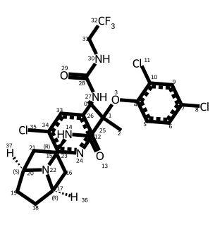 CC(C)(Oc1ccc(Cl)cc1Cl)C(=O)N[C@H]1C[C@H]2CC[C@@H](C1)N2c1ncc(NC(=O)NCC(F)(F)F)cc1Cl